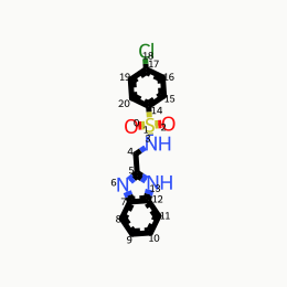 O=S(=O)(NCc1nc2ccccc2[nH]1)c1ccc(Cl)cc1